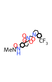 CNC(=O)Nc1ccc2c(c1)CC[C@@]21OC(=O)N(CC(=O)N2CCCc3ccc(C(F)(F)F)cc32)C1=O